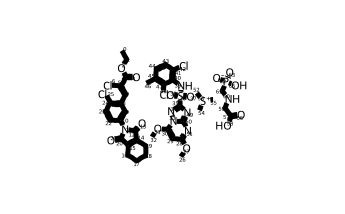 CCOC(=O)/C(Cl)=C/c1cc(N2C(=O)C3=C(CCCC3)C2=O)ccc1Cl.COc1cc(OC)n2nc(S(=O)(=O)Nc3c(Cl)ccc(C)c3Cl)nc2n1.C[S+](C)C.O=C(O)CNCP(=O)([O-])O